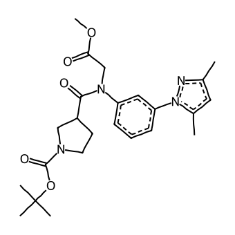 COC(=O)CN(C(=O)C1CCN(C(=O)OC(C)(C)C)C1)c1cccc(-n2nc(C)cc2C)c1